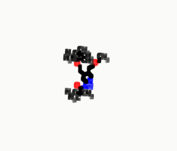 CCOC=Cc1cnc(NC(=O)C(C)(C)C)cc1CCO[Si](C)(C)C(C)(C)C